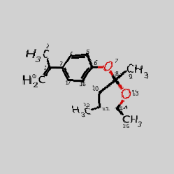 C=C(C)c1ccc(OC(C)(CCC)OCC)cc1